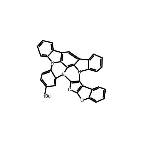 CC(C)(C)c1ccc2c(c1)B1c3oc4oc5ccccc5c4c3-n3c4ccccc4c4cc5c6ccccc6n-2c5c1c43